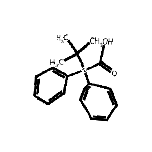 CC(C)(C)[Si](C(=O)O)(c1ccccc1)c1ccccc1